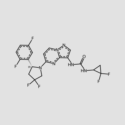 O=C(Nc1cnn2ccc(N3CC(F)(F)C[C@@H]3c3cc(F)ccc3F)nc12)NC1CC1(F)F